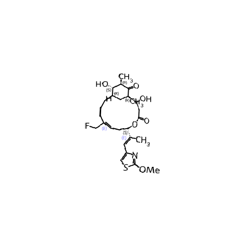 COc1nc(/C=C(\C)[C@@H]2C/C=C(/CF)CCC[C@@H]3C[C@@](C)(C(=O)[C@H](C)[C@H]3O)[C@@H](O)CC(=O)O2)cs1